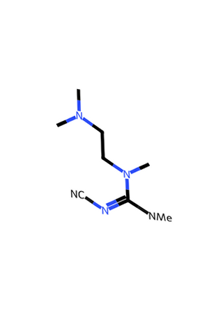 CN/C(=N/C#N)N(C)CCN(C)C